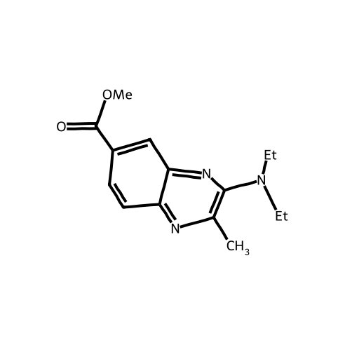 CCN(CC)c1nc2cc(C(=O)OC)ccc2nc1C